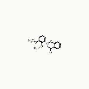 COc1cccc([C@H]2CC(=O)c3ccccc3O2)c1OC